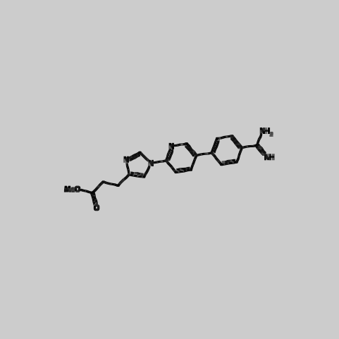 COC(=O)CCc1cn(-c2ccc(-c3ccc(C(=N)N)cc3)cn2)cn1